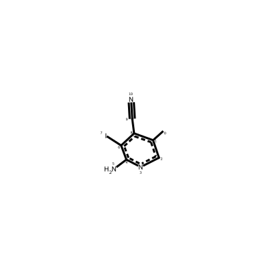 Cc1cnc(N)c(I)c1C#N